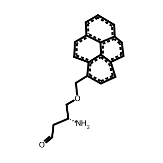 N[C@H](CC=O)COCc1ccc2ccc3cccc4ccc1c2c34